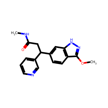 CNC(=O)CC(c1cccnc1)c1ccc2c(OC)n[nH]c2c1